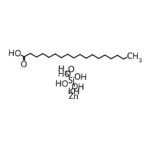 CCCCCCCCCCCCCCCCCC(=O)O.O.O[Si](O)(O)O.[KH].[Zn]